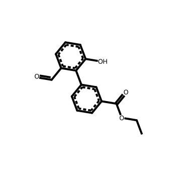 CCOC(=O)c1cccc(-c2c(O)cccc2C=O)c1